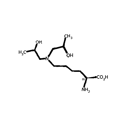 CC(O)CN(CCCC[C@H](N)C(=O)O)CC(C)O